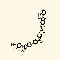 C[C@H]1CC2(CCN(c3ccc(C(=O)N4CCN(CC(=O)N5Cc6cc7c(cc6C5)C(=O)N(C5CCC(=O)NC5=O)C7=O)CC4)cc3)CC2)CN1c1ccc(C#N)c(Cl)c1